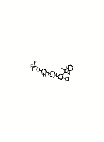 Cc1c(-c2cc(N3CCN(c4ccc(OCC(F)(F)F)cn4)CC3)ccc2Cl)nc2ccccn12